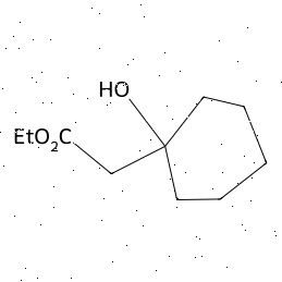 CCOC(=O)CC1(O)CCCCC1